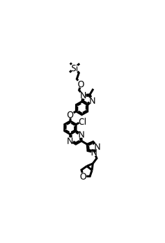 Cc1nc2ccc(Oc3ccc4ncc(-c5cnn(CC6C7COCC76)c5)nc4c3Cl)cc2n1COCC[Si](C)(C)C